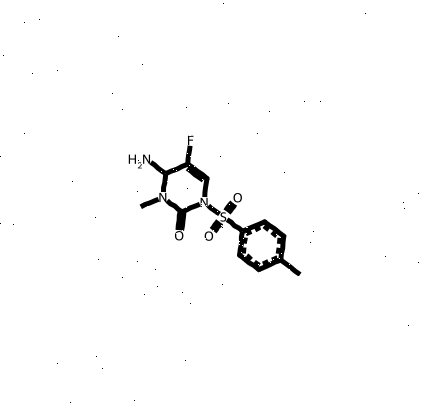 Cc1ccc(S(=O)(=O)N2C=C(F)C(N)N(C)C2=O)cc1